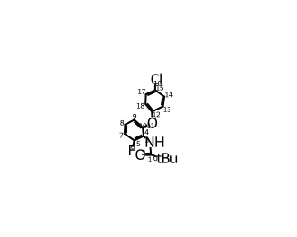 CC(C)(C)C(=O)Nc1c(F)cccc1Oc1ccc(Cl)cc1